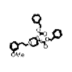 COc1cccc(CCN2CC3CC(C2)N(C(=O)OCc2ccccc2)N3C(=O)OCc2ccccc2)c1